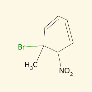 CC1(Br)C=CC=CC1[N+](=O)[O-]